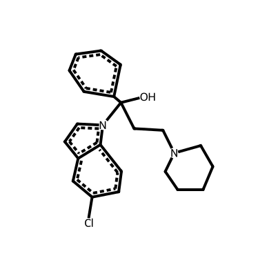 OC(CCN1CCCCC1)(c1ccccc1)n1ccc2cc(Cl)ccc21